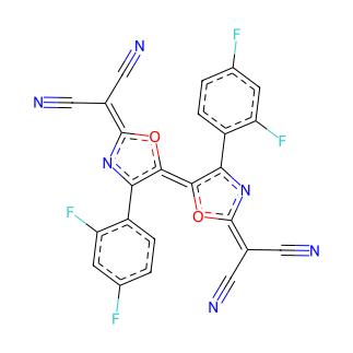 N#CC(C#N)=c1nc(-c2ccc(F)cc2F)/c(=c2\oc(=C(C#N)C#N)nc2-c2ccc(F)cc2F)o1